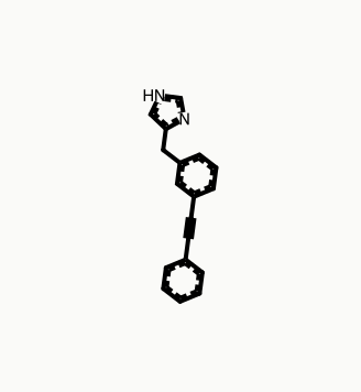 C(#Cc1cccc(Cc2c[nH]cn2)c1)c1ccccc1